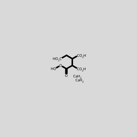 O=C(O)CC(C(=O)O)C(C(=O)O)C(=O)OO.[CaH2].[CaH2]